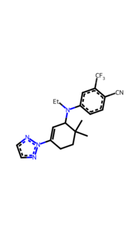 CCN(c1ccc(C#N)c(C(F)(F)F)c1)C1C=C(n2nccn2)CCC1(C)C